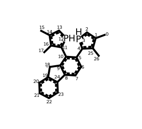 Cc1c[pH]c(-c2ccc3c(c2-c2[pH]cc(C)c2C)[CH]c2ccccc2-3)c1C